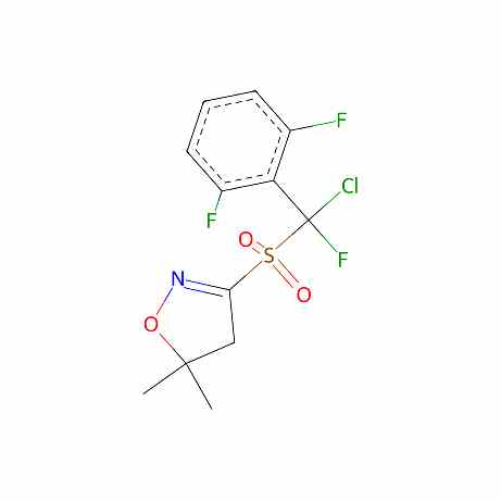 CC1(C)CC(S(=O)(=O)C(F)(Cl)c2c(F)cccc2F)=NO1